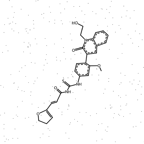 COc1cc(NC(=S)NC(=O)/C=C/C2=CCCO2)ccc1-c1cc2ccccc2n(CCO)c1=O